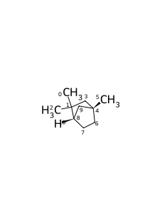 CC1(C)C[C@]2(C)CC[C@H]1C2